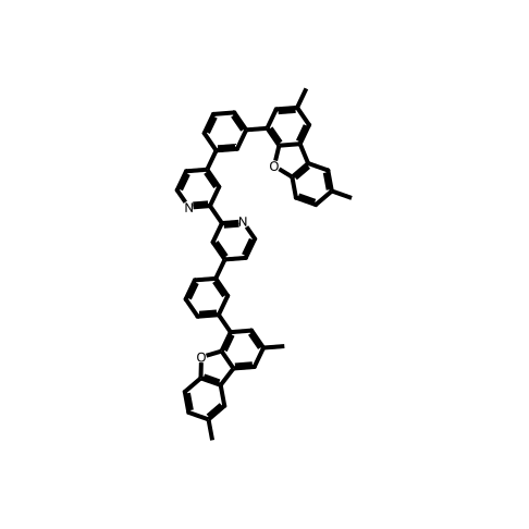 Cc1ccc2oc3c(-c4cccc(-c5ccnc(-c6cc(-c7cccc(-c8cc(C)cc9c8oc8ccc(C)cc89)c7)ccn6)c5)c4)cc(C)cc3c2c1